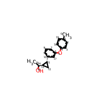 Cc1ccc(Oc2cccc([C@@H]3C[C@H]3C(C)O)c2)cc1